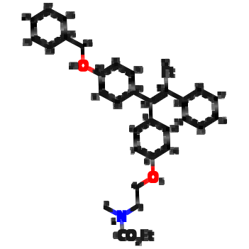 CCOC(=O)N(C)CCOc1ccc(/C(=C(/CC)c2ccccc2)c2ccc(OCc3ccccc3)cc2)cc1